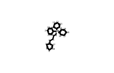 c1ccc(CCCC[PH](c2ccccc2)(c2ccccc2)c2ccccc2)cc1